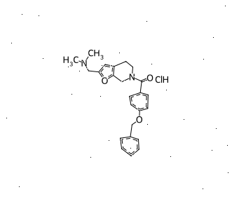 CN(C)Cc1cc2c(o1)CN(C(=O)c1ccc(OCc3ccccc3)cc1)CC2.Cl